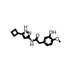 COc1ccc(CC(=O)Nc2cc(C3CCC3)[nH]n2)cc1O